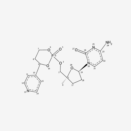 C[C@@]1(COP2(=O)OCCC(c3ccncc3)O2)CC[C@H](n2ccc(N)nc2=O)O1